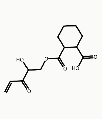 C=CC(=O)C(O)COC(=O)C1CCCCC1C(=O)O